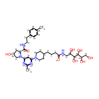 O=C(CCCC1CCN(c2cc(N3C[C@H](O)C[C@H]3C(=O)NCCc3ccc(C(F)(F)F)cc3)nc(C(F)(F)F)n2)CC1)NCC(O)C(O)C(O)C(O)CO